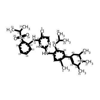 Cc1cc(Nc2ncc(Cl)c(Nc3ccccc3S(=O)(=O)C(C)C)n2)c(OC(C)C)cc1C1=CC(C)N(C)C(C)C1